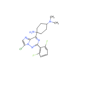 CN(C)C1CCC(N)(c2nc(-c3c(F)cccc3F)nn3c(Cl)cnc23)CC1